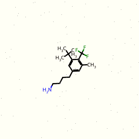 Cc1cc(CCCCN)cc(C(C)(C)C)c1C(F)(F)F